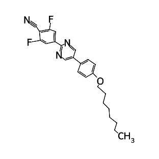 CCCCCCCCOc1ccc(-c2cnc(-c3cc(F)c(C#N)c(F)c3)nc2)cc1